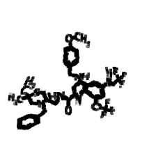 COc1ccc(CNc2cc(C(=O)NCC3CSC(C)(C)CN3Cc3ccccc3)nc3c(OC(F)(F)F)cc(NCC(F)(F)F)cc23)cc1